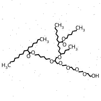 CCCCCCCCC(CCCCCC)C(=O)OCCCCCCOC(COCCOCCOCCOCCO)COC(CCCC)CCCC(CCCCCC)C(=O)OCCCCCC